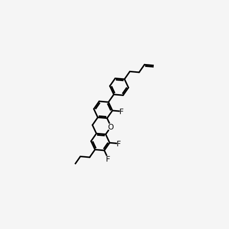 C=CCCc1ccc(-c2ccc3c(c2F)Oc2c(cc(CCC)c(F)c2F)C3)cc1